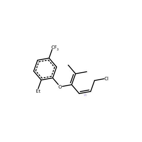 CCc1ccc(C(F)(F)F)cc1OC(/C=C\CCl)=C(C)C